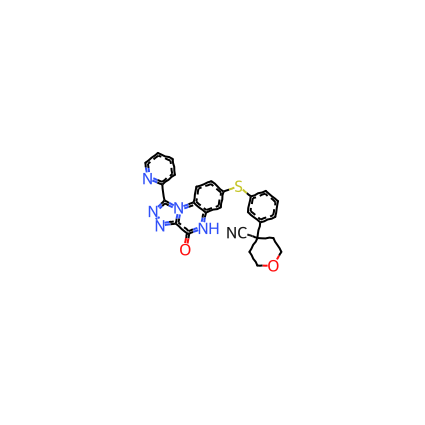 N#CC1(c2cccc(Sc3ccc4c(c3)[nH]c(=O)c3nnc(-c5ccccn5)n34)c2)CCOCC1